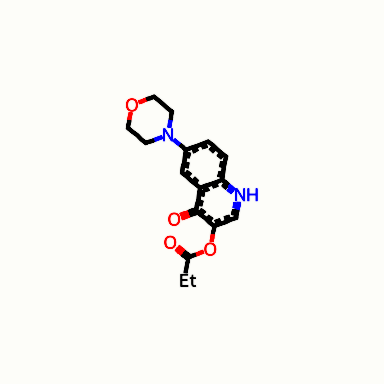 CCC(=O)Oc1c[nH]c2ccc(N3CCOCC3)cc2c1=O